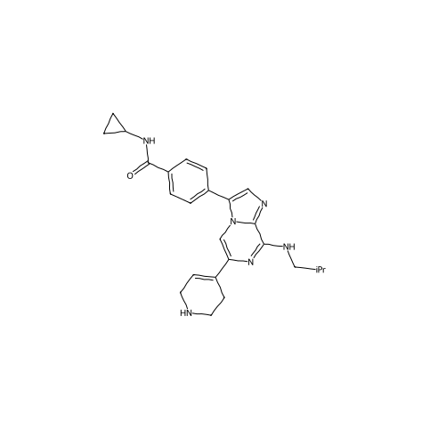 CC(C)CNc1nc(C2=CCNCC2)cn2c(-c3ccc(C(=O)NC4CC4)cc3)cnc12